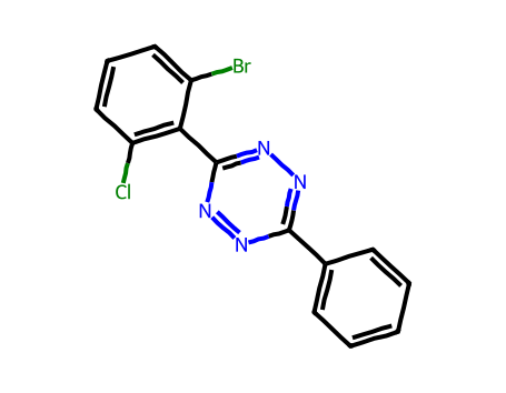 Clc1cccc(Br)c1-c1nnc(-c2ccccc2)nn1